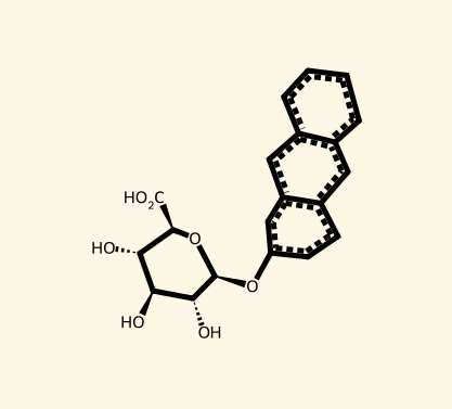 O=C(O)[C@H]1O[C@@H](Oc2ccc3cc4ccccc4cc3c2)[C@H](O)[C@@H](O)[C@@H]1O